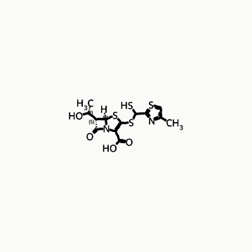 Cc1csc(C(S)SC2=C(C(=O)O)N3C(=O)[C@H]([C@@H](C)O)[C@H]3S2)n1